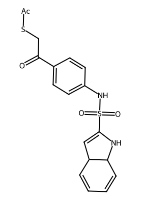 CC(=O)SCC(=O)c1ccc(NS(=O)(=O)C2=CC3C=CC=CC3N2)cc1